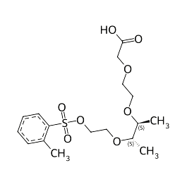 Cc1ccccc1S(=O)(=O)OCCO[C@@H](C)[C@H](C)OCCOCC(=O)O